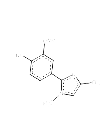 COc1cc(-c2nc(C(F)(F)F)cn2C)ccc1C#N